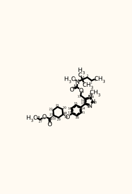 CCCC(C)(C)N(C)C(=O)OCc1c(-c2ccc(O[C@H]3CCC[C@H](C(=O)OCC)C3)cc2)nnn1C